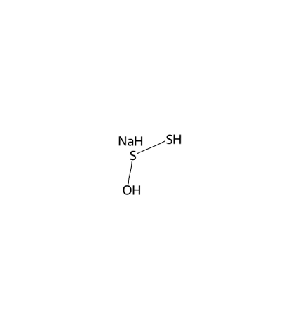 OSS.[NaH]